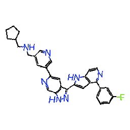 Fc1cccc(-c2nccc3[nH]c(-c4n[nH]c5cnc(-c6cncc(CNCC7CCCC7)c6)cc45)cc23)c1